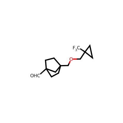 O=CC12CCC(COCC3(C(F)(F)F)CC3)(CC1)C2